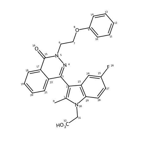 Cc1c(-c2nn(CCOc3ccccc3)c(=O)c3ccccc23)c2cc(F)ccc2n1CC(=O)O